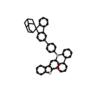 c1ccc(-c2ccccc2N(c2ccc(-c3ccc4c(c3)-c3ccccc3C43C4CC5CC(C4)CC3C5)cc2)c2ccc3oc4ccccc4c3c2)cc1